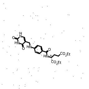 CCOC(=O)CC[C@@H](NC(=O)c1ccc(NCc2c[nH]c(=O)[nH]c2=O)cc1)C(=O)OCC